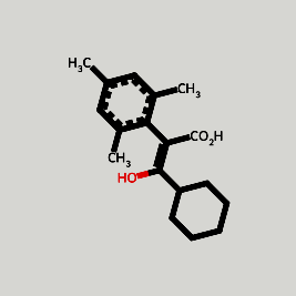 Cc1cc(C)c(/C(C(=O)O)=C(\O)C2CCCCC2)c(C)c1